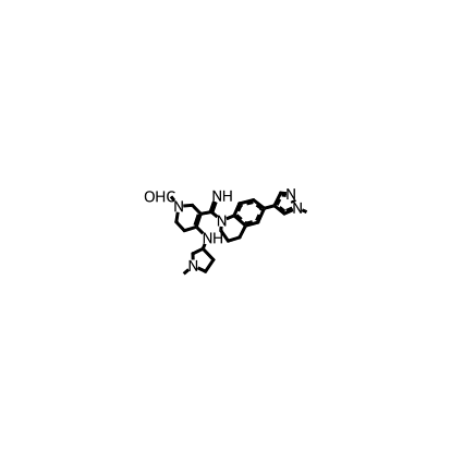 CN1CCC(NC2=C(C(=N)N3CCCc4cc(-c5cnn(C)c5)ccc43)CN(C=O)CC2)C1